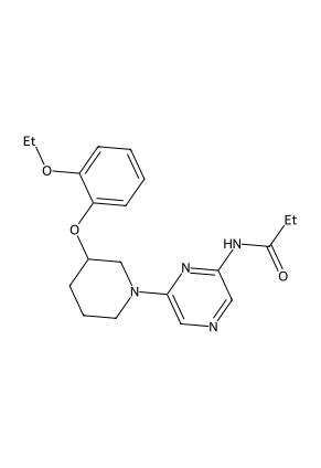 CCOc1ccccc1OC1CCCN(c2cncc(NC(=O)CC)n2)C1